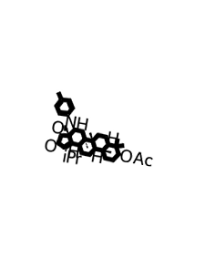 CC(=O)O[C@H]1CC[C@]2(C)[C@H]3CC[C@@H]4C5=C(C(C)C)C(=O)C[C@]5(C(=O)Nc5ccc(C)cc5)CC[C@@]4(C)[C@]3(C)CC[C@H]2C1(C)C